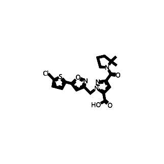 CC1(C)CCCN1C(=O)c1cc(C(=O)O)n(Cc2cc(-c3ccc(Cl)s3)on2)n1